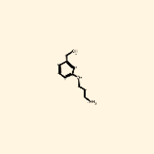 NCCCOc1cc[c]c(CO)c1